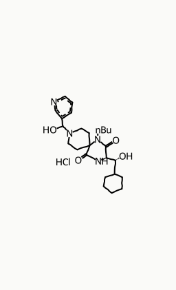 CCCCN1C(=O)[C@@H]([C@H](O)C2CCCCC2)NC(=O)C12CCN(C(O)c1cccnc1)CC2.Cl